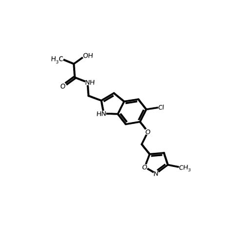 Cc1cc(COc2cc3[nH]c(CNC(=O)C(C)O)cc3cc2Cl)on1